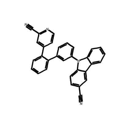 N#Cc1ccc2c(c1)c1ccccc1n2-c1cccc(-c2ccccc2-c2ccnc(C#N)c2)c1